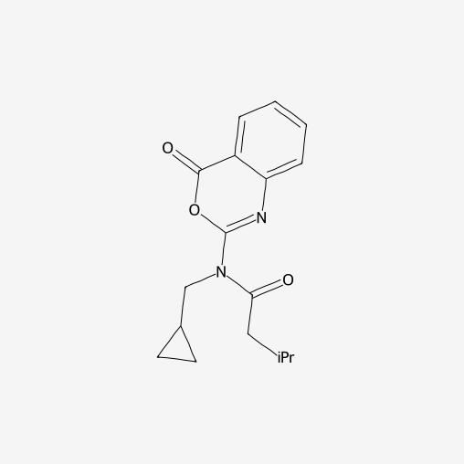 CC(C)CC(=O)N(CC1CC1)c1nc2ccccc2c(=O)o1